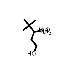 CC(C)(C)C(N)CCO.O